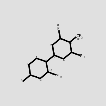 CC1CCC(C2CC(F)C(C(F)(F)F)C(F)C2)C(F)C1